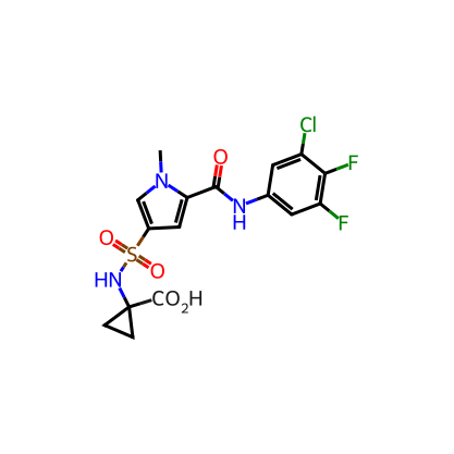 Cn1cc(S(=O)(=O)NC2(C(=O)O)CC2)cc1C(=O)Nc1cc(F)c(F)c(Cl)c1